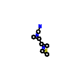 N#CC1C=CC(n2c3ccccc3c3cc(-c4ccc5c(c4)c4ccccc4n5-c4cccc5c4sc4ccccc45)ccc32)=CC1